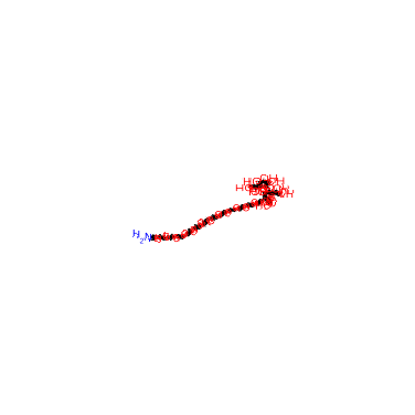 NCCOCCOCCOCCOCCOCCOCCOCCOCCOCCOCCOCCOCCO[C@]1(C(=O)O)C[C@@H](O)[C@@H](O[C@H]2OC([C@@H](O)CO)[C@@H](O)[C@H](O)C2O)C([C@H](O)CO)O1